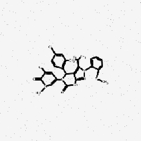 COc1ccccc1-n1nc2c(c1C(C)C)C(c1ccc(Cl)cc1C)N(c1cc(Cl)c(=O)n(C)c1)C(=O)N2